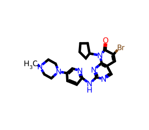 CN1CCN(c2ccc(Nc3ncc4cc(Br)c(=O)n(C5CCCC5)c4n3)nc2)CC1